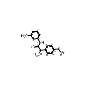 Cc1cccc(NC(=O)C(C)c2ccc(CC(C)C)cc2)c1